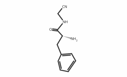 N#CCNC(=O)[C@H](N)Cc1ccccc1